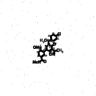 CNC(=O)c1ccc(OC)c(-c2nn([C@H](C)c3ccc(Cl)cc3)c(=O)c3c(C)noc23)c1